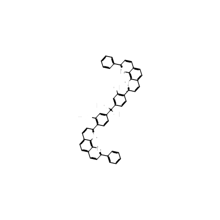 Cc1cc(C(c2ccc(-c3ccc4ccc5ccc(-c6ccccc6)nc5c4n3)c(C)c2)(C(F)(F)F)C(F)(F)F)ccc1-c1ccc2ccc3ccc(-c4ccccc4)nc3c2n1